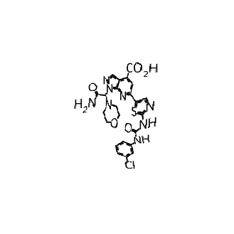 NC(=O)C(N1CCOCC1)n1ncc2c(C(=O)O)cc(-c3cnc(NC(=O)Nc4cccc(Cl)c4)s3)nc21